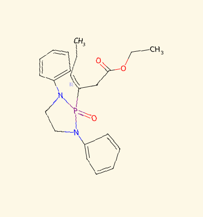 CC/C=C(\CC(=O)OCC)P1(=O)N(c2ccccc2)CCN1c1ccccc1